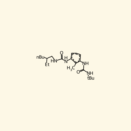 CCCCC(CC)CNC(=O)Nc1cccc(NC(=O)NC(C)(C)C)c1C